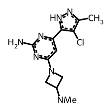 CNC1CN(c2cc(-c3[nH]nc(C)c3Cl)nc(N)n2)C1